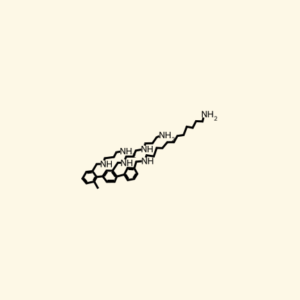 Cc1cccc(CNCCCN)c1-c1ccc(-c2cccc(CNCCCCCCCCCCCCN)c2)c(CNCCCNCCCN)c1